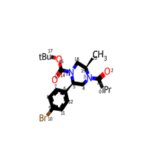 CC(C)C(=O)N1C[C@@H](c2ccc(Br)cc2)N(C(=O)OC(C)(C)C)C[C@H]1C